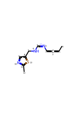 CC=C=C/N=C\NCc1cnc(C)s1